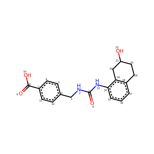 O=C(NCc1ccc(C(=O)O)cc1)Nc1cccc2c1CC(O)CC2